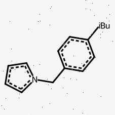 CCC(C)c1ccc(Cn2cccc2)cc1